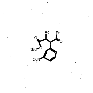 CCC(=O)C(c1cccc([N+](=O)[O-])c1)C(C(C)=O)C(=O)OC(C)(C)C